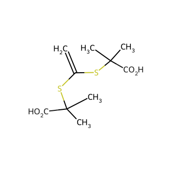 C=C(SC(C)(C)C(=O)O)SC(C)(C)C(=O)O